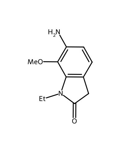 CCN1C(=O)Cc2ccc(N)c(OC)c21